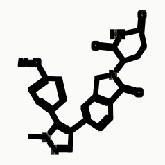 COc1ccc(-c2c(-c3ccc4c(c3)CN(C3CCC(=O)NC3=O)C4=O)cnn2C)cc1